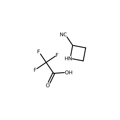 N#CC1CCN1.O=C(O)C(F)(F)F